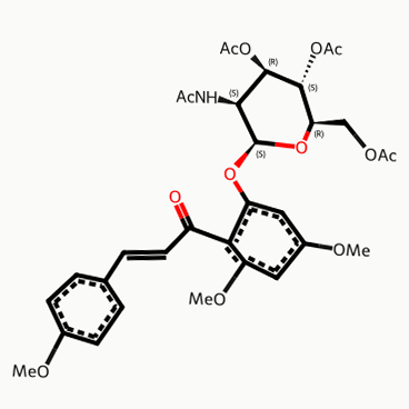 COc1ccc(C=CC(=O)c2c(OC)cc(OC)cc2O[C@@H]2O[C@H](COC(C)=O)[C@@H](OC(C)=O)[C@H](OC(C)=O)[C@@H]2NC(C)=O)cc1